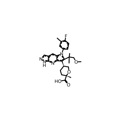 COCC(C)(C)c1c([C@@H]2CC[C@@](C)(C(=O)O)OC2)c2nc3[nH]ncc3cc2n1-c1ccc(F)c(C)c1